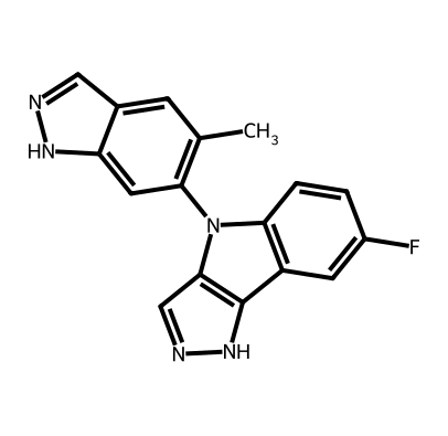 Cc1cc2cn[nH]c2cc1-n1c2ccc(F)cc2c2[nH]ncc21